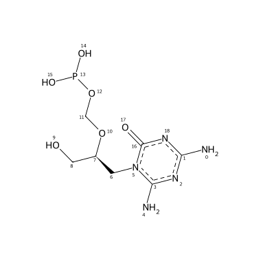 Nc1nc(N)n(C[C@@H](CO)OCOP(O)O)c(=O)n1